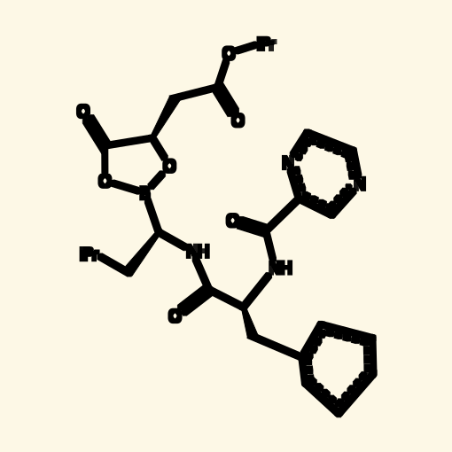 CC(C)C[C@H](NC(=O)[C@H](Cc1ccccc1)NC(=O)c1cnccn1)B1OC(=O)[C@@H](CC(=O)OC(C)C)O1